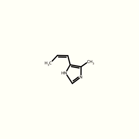 C/C=C\c1[nH]cnc1C